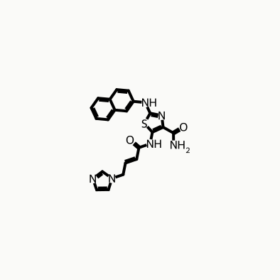 NC(=O)c1nc(Nc2ccc3ccccc3c2)sc1NC(=O)C=CCn1ccnc1